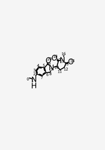 CNc1ccc2c(c1)CN(C1CCC(=O)N(C)C1=O)C2=O